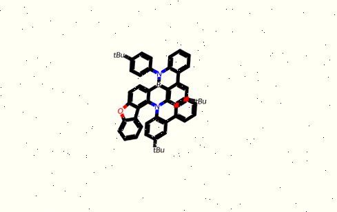 CC(C)(C)c1ccc(N2B3c4ccc5oc6ccccc6c5c4N(c4ccc(C(C)(C)C)cc4-c4ccccc4)c4cc(C(C)(C)C)cc(c43)-c3ccccc32)cc1